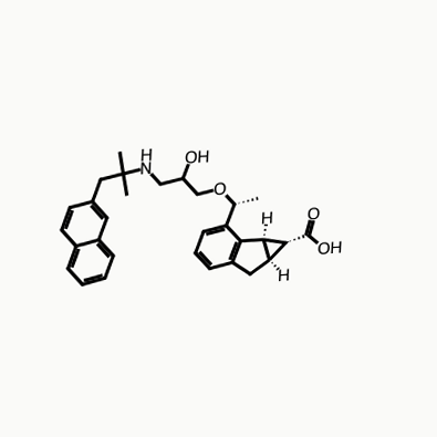 C[C@@H](OCC(O)CNC(C)(C)Cc1ccc2ccccc2c1)c1cccc2c1[C@@H]1[C@H](C2)[C@H]1C(=O)O